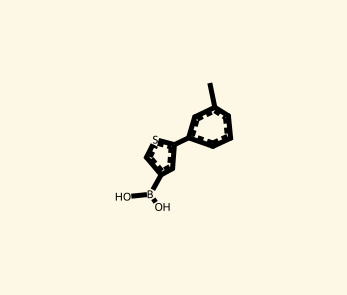 Cc1cccc(-c2cc(B(O)O)cs2)c1